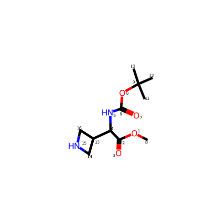 COC(=O)C(NC(=O)OC(C)(C)C)C1CNC1